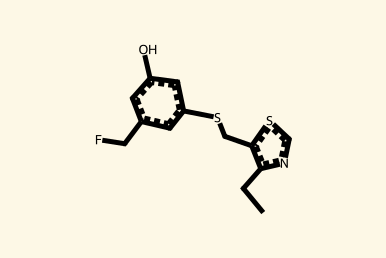 CCc1ncsc1CSc1cc(O)cc(CF)c1